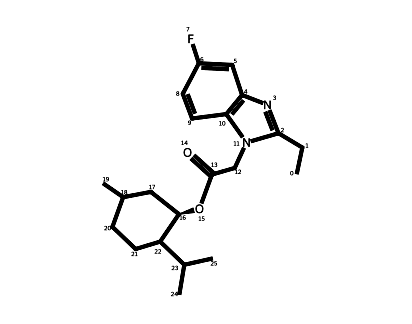 CCc1nc2cc(F)ccc2n1CC(=O)O[C@@H]1CC(C)CCC1C(C)C